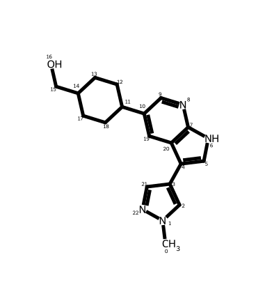 Cn1cc(-c2c[nH]c3ncc(C4CCC(CO)CC4)cc23)cn1